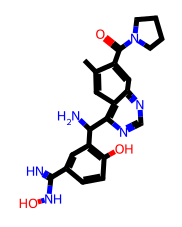 Cc1cc2c(C(N)c3cc(C(=N)NO)ccc3O)ncnc2cc1C(=O)N1CCCC1